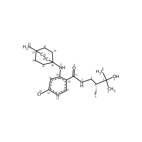 CC(C)(O)[C@H](F)CNC(=O)c1cnc(Cl)cc1NC12CCC(N)(CC1)CC2